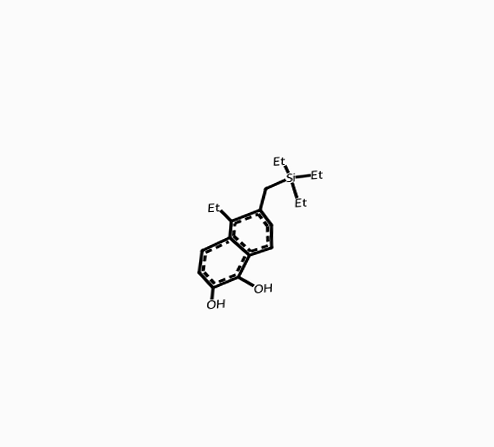 CCc1c(C[Si](CC)(CC)CC)ccc2c(O)c(O)ccc12